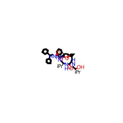 CC(C)[C@H](O)C(=O)N[C@H]1Cc2ccc3c(c2)[C@@]2(c4ccccc4NC2O3)c2oc(nc2C(=O)NCC(c2ccccc2)c2ccccc2)[C@H](C(C)C)NC1=O